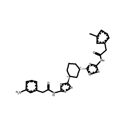 Cc1cccc(CC(=O)Nc2nnc([C@H]3CCC[C@H](c4nnc(NC(=O)Cc5cccc(N)c5)s4)C3)s2)c1